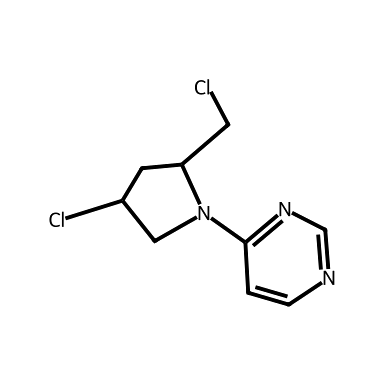 ClCC1CC(Cl)CN1c1ccncn1